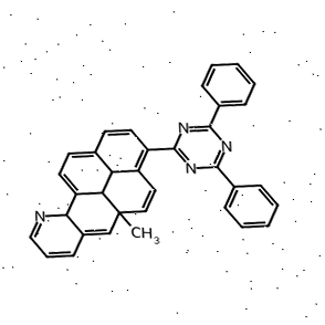 CC12C=CC3=C(c4nc(-c5ccccc5)nc(-c5ccccc5)n4)C=CC4=CC=C(C5N=CC=CC5=C1)C2C43